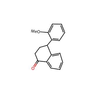 COc1ccccc1C1CCC(=O)c2ccccc21